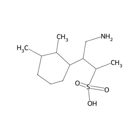 CC1CCCC(C(CN)C(C)S(=O)(=O)O)C1C